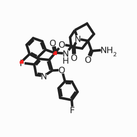 Cc1cccc(COC(=O)N2C3CCC2(C(N)=O)CC(NC(=O)c2cc(F)cnc2Oc2ccc(F)cc2)C3)c1